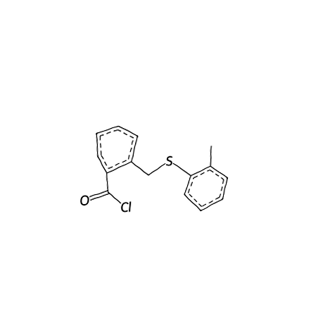 Cc1ccccc1SCc1ccccc1C(=O)Cl